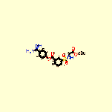 CC(C)(C)OC(=O)CNS(=O)(=O)c1cccc(C(=O)Oc2ccc(C(=N)N)cc2)c1